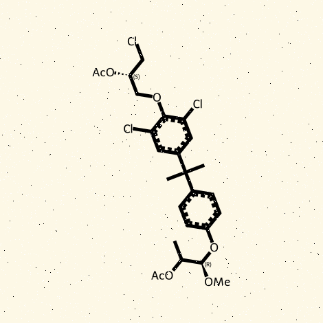 CO[C@H](Oc1ccc(C(C)(C)c2cc(Cl)c(OC[C@@H](CCl)OC(C)=O)c(Cl)c2)cc1)C(C)OC(C)=O